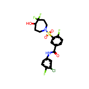 O=C(Nc1ccc(F)c(Cl)c1)c1ccc(F)c(S(=O)(=O)N2CCC(O)C(F)(F)CC2)c1